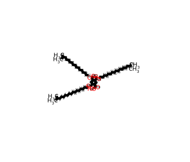 CC(C)CCCCCCCCCCCCCCCOC(=O)c1cc(C(=O)OCCCCCCCCCCCCCCCC(C)C)c(C(=O)OCCCCCCCCCCCCCCCC(C)C)cc1C(=O)O